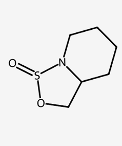 O=S1OCC2CCCCN21